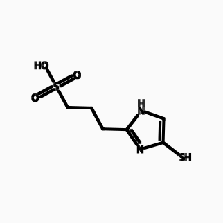 O=S(=O)(O)CCCc1nc(S)c[nH]1